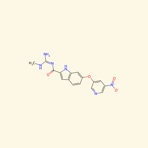 CNC(N)=NC(=O)c1cc2ccc(Oc3cncc([N+](=O)[O-])c3)cc2[nH]1